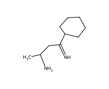 CC(N)CC(=N)C1CCCCC1